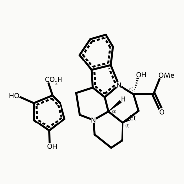 CC[C@]12CCCN3CCc4c(n(c5ccccc45)[C@@](O)(C(=O)OC)C1)[C@@H]32.O=C(O)c1ccc(O)cc1O